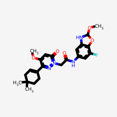 COc1cc(=O)n(CC(=O)Nc2cc(F)c3c(c2)NC(OC)O3)nc1C1=CCC(C)(C)CC1